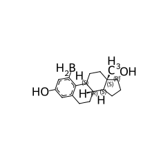 Bc1cc(O)cc2c1[C@H]1CC[C@]3(C)[C@H](O)CC[C@H]3[C@@H]1CC2